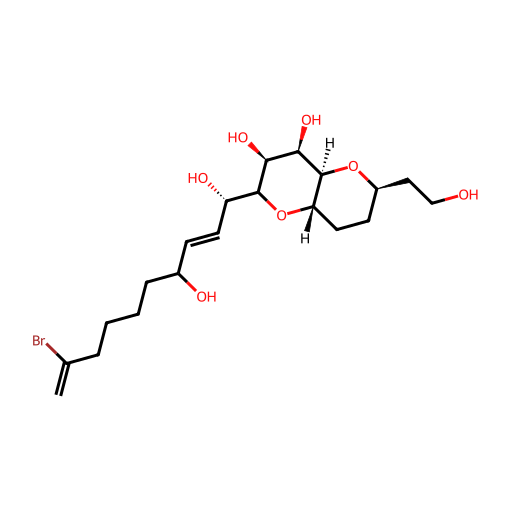 C=C(Br)CCCCC(O)/C=C/[C@H](O)C1O[C@H]2CC[C@H](CCO)O[C@@H]2[C@H](O)[C@@H]1O